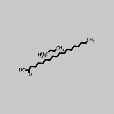 CCCC.CCCCCCCCCCCCCCCCCC(=O)O.N